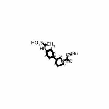 CC(Nc1ccc(C2CCCN(C(=O)OC(C)(C)C)C2)cc1)S(=O)(=O)O